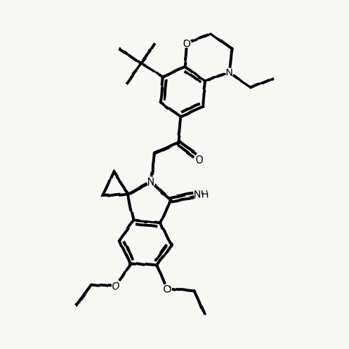 CCOc1cc2c(cc1OCC)C1(CC1)N(CC(=O)c1cc3c(c(C(C)(C)C)c1)OCCN3CC)C2=N